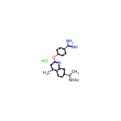 CC(=O)NC(C)c1ccc2c(C)cc(Oc3ccc(C(=N)N)cc3)nc2c1.Cl